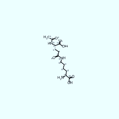 CC(=O)N[C@@H](CCC(=O)NCCCC[C@H](N)C(=O)O)C(=O)O